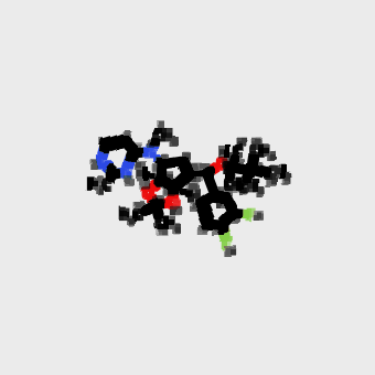 Cc1nccc(N(C)[C@@H]2C[C@H](C(O[Si](C)(C)C(C)(C)C)c3ccc(F)c(F)c3)[C@H]3OC(C)(C)O[C@H]32)n1